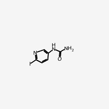 NC(=O)Nc1ccc(I)nc1